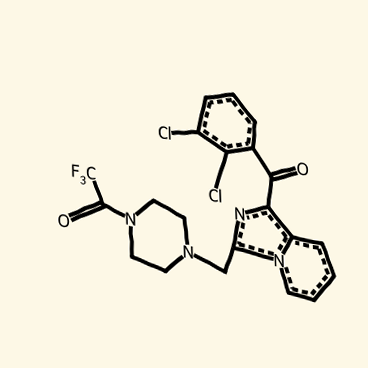 O=C(c1cccc(Cl)c1Cl)c1nc(CN2CCN(C(=O)C(F)(F)F)CC2)n2ccccc12